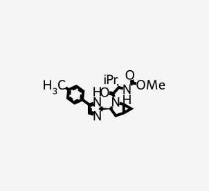 COC(=O)N[C@H](C(=O)N1C2CC2C[C@H]1c1ncc(-c2ccc(C)cc2)[nH]1)C(C)C